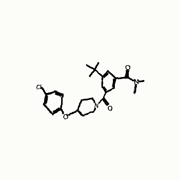 CN(C)C(=O)c1cc(C(=O)N2CCC(Oc3ccc(Cl)cc3)CC2)cc(C(C)(C)C)c1